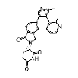 Cc1ncccc1-c1c(-c2ccc3c(c2)CN([C@H]2CCC(=O)NC2=O)C3=O)cnn1C